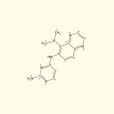 CP(C)c1c(Nc2ccnc(N)n2)ccc2nccnc12